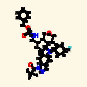 CC(C)(C)C(=O)n1ncc2cc3c(cc21)c(CCCNC(=O)OCc1ccccc1)c(C1CCOCC1)n3-c1ccc(F)cc1